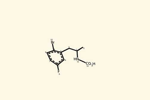 CC(Cc1cc(F)ccc1Br)NC(=O)O